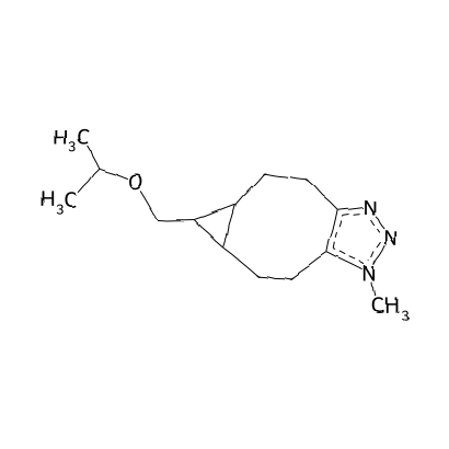 CC(C)OCC1C2CCc3nnn(C)c3CCC21